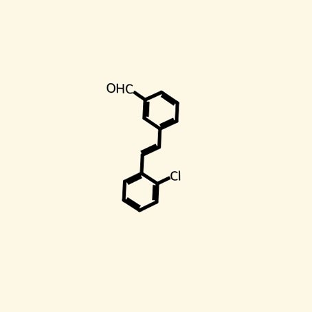 O=Cc1cccc(C=Cc2ccccc2Cl)c1